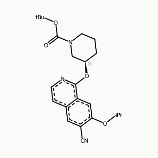 CC(C)Oc1cc2c(O[C@@H]3CCCN(C(=O)OC(C)(C)C)C3)nccc2cc1C#N